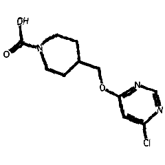 O=C(O)N1CCC(COc2cc(Cl)ncn2)CC1